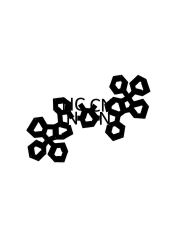 N#Cc1c(-n2c3ccccc3c3c4c(ccc32)C(c2ccccc2)(c2ccccc2)c2ccccc2-4)ccc(-n2c3ccccc3c3c4c(ccc32)C(c2ccccc2)(c2ccccc2)c2ccccc2-4)c1C#N